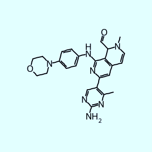 Cc1nc(N)ncc1-c1cc2c(c(Nc3ccc(N4CCOCC4)cc3)n1)C(C=O)N(C)C=C2